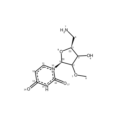 COC1C(O)[C@H](CN)O[C@@H]1n1ccc(=O)[nH]c1=O